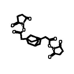 O=C(CC12CC3CC(C1)C(CC(=O)ON1C(=O)CCC1=O)(C3)C2)ON1C(=O)CCC1=O